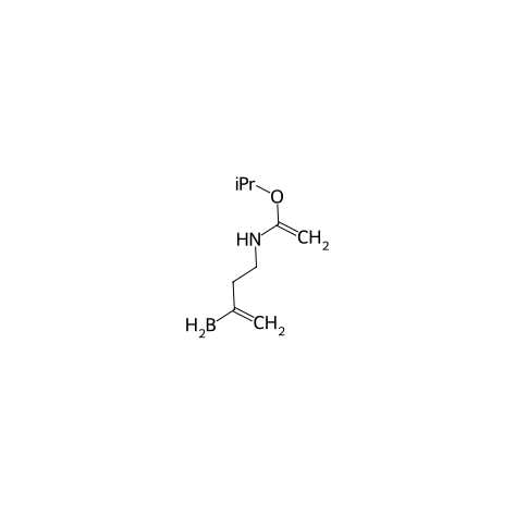 BC(=C)CCNC(=C)OC(C)C